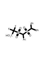 CC(=O)C(S(=O)(=O)C(C(C)C)C(C)C)S(=O)(=O)C(F)(F)C(=O)O